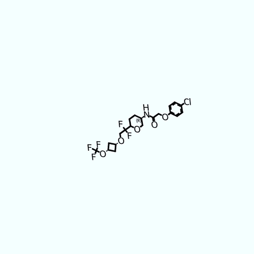 O=C(COc1ccc(Cl)cc1)N[C@@H]1CCC(C(F)(F)CO[C@H]2C[C@@H](OC(F)(F)F)C2)OC1